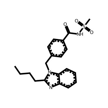 CCCCc1nc2ccccc2n1Cc1ccc(C(=O)NS(C)(=O)=O)cc1